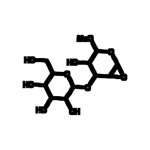 COC1OC2OC2C(OC2OC(CO)C(O)C(O)C2O)C1O